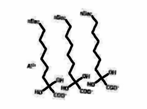 CCCCCCCCCCCCCCCCC(O)(O)C(=O)[O-].CCCCCCCCCCCCCCCCC(O)(O)C(=O)[O-].CCCCCCCCCCCCCCCCC(O)(O)C(=O)[O-].[Al+3]